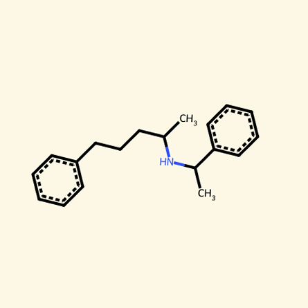 CC(CCCc1ccccc1)NC(C)c1ccccc1